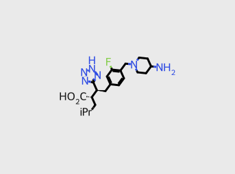 CC(C)C[C@H](C(=O)O)[C@H](Cc1ccc(CN2CCC(N)CC2)c(F)c1)c1nn[nH]n1